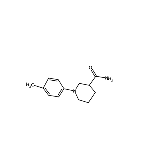 Cc1ccc(N2CCCC(C(N)=O)C2)cc1